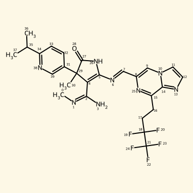 C/N=C(/N)C1=C(/N=C/c2cn3ccnc3c(CCC(F)(F)C(F)(F)F)n2)NC(=O)C1(C)c1ccc(C(C)C)nc1